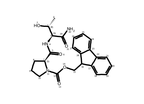 C[C@@H](O)[C@H](NC(=O)[C@@H]1CCCN1C(=O)OCC1c2ccccc2-c2ccccc21)C(N)=O